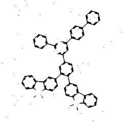 C[Si]1(C)c2ccccc2-c2cc(-c3ccc(-c4cc(-c5ccc(-c6ccccc6)cc5)nc(-c5ccccc5)n4)cc3-c3ccc4c(c3)-c3ccccc3[Si]4(C)C)ccc21